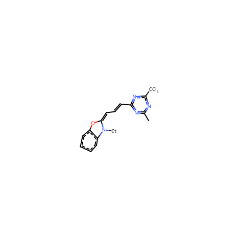 CCN1C(=CC=Cc2nc(C)nc(C(Cl)(Cl)Cl)n2)Oc2ccccc21